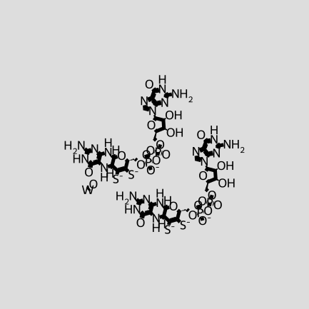 Nc1nc2c(c(=O)[nH]1)N[C@H]1C([S-])=C([S-])[C@@H](COP(=O)([O-])OP(=O)([O-])OC[C@H]3O[C@@H](n4cnc5c(=O)[nH]c(N)nc54)[C@H](O)[C@@H]3O)O[C@H]1N2.Nc1nc2c(c(=O)[nH]1)N[C@H]1C([S-])=C([S-])[C@@H](COP(=O)([O-])OP(=O)([O-])OC[C@H]3O[C@@H](n4cnc5c(=O)[nH]c(N)nc54)[C@H](O)[C@@H]3O)O[C@H]1N2.[O]=[W]